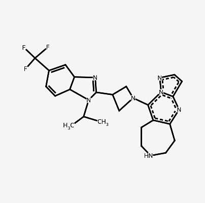 CC(C)N1C(C2CN(c3c4c(nc5ccnn35)CCNCC4)C2)=NC2C=C(C(F)(F)F)C=CC21